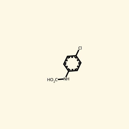 O=C(O)Nc1ccc(Cl)cc1